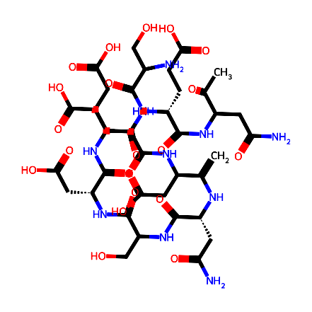 C=C(N[C@H](CC(N)=O)C(=O)NC(CO)C(=O)N[C@H](CC(=O)O)C(=O)NC(CCC(=O)O)C(=O)N[C@H](CCC(=O)O)C(=O)NC(CC(N)=O)C(C)=O)C(CC(=O)O)NC(=O)[C@@H](CCC(=O)O)NC(=O)C(N)CO